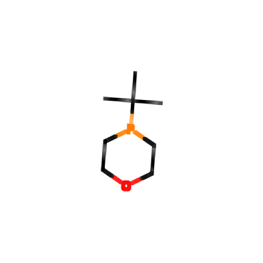 CC(C)(C)P1CCOCC1